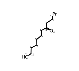 CC(C)CCC(=O)CCCCCCO